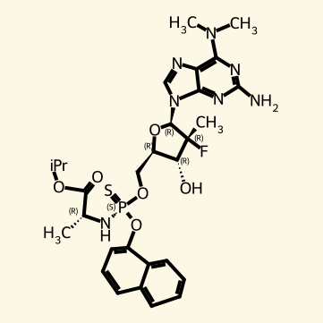 CC(C)OC(=O)[C@@H](C)N[P@](=S)(OC[C@H]1O[C@@H](n2cnc3c(N(C)C)nc(N)nc32)[C@](C)(F)[C@@H]1O)Oc1cccc2ccccc12